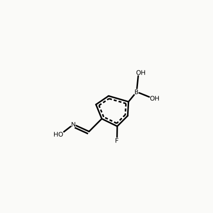 ON=Cc1ccc(B(O)O)cc1F